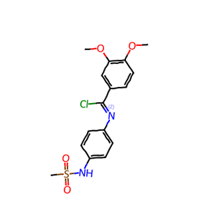 COc1ccc(/C(Cl)=N/c2ccc(NS(C)(=O)=O)cc2)cc1OC